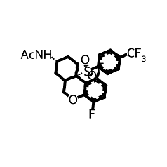 CC(=O)N[C@@H]1CC[C@@]2(S(=O)(=O)c3ccc(C(F)(F)F)cc3)c3c(F)ccc(F)c3OCC2C1